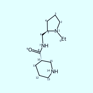 CCN1CCC[C@@H]1CNC(=O)[C@H]1CCCNC1